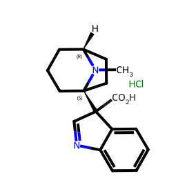 CN1[C@@H]2CCC[C@@]1(C1(C(=O)O)C=Nc3ccccc31)CC2.Cl